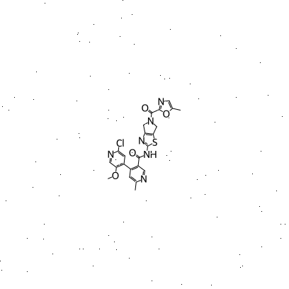 COc1cnc(Cl)cc1-c1cc(C)ncc1C(=O)Nc1nc2c(s1)CN(C(=O)c1ncc(C)o1)C2